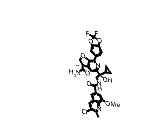 COc1cc(C(=O)NC[C@](O)(c2cc3c(c(-c4ccc5c(c4)OC(F)(F)O5)n2)OC[C@]3(C)C(N)=O)C2CC2)cc2cc(Cl)c(C)nc12